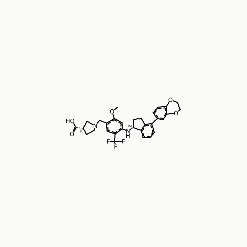 COc1cc(N[C@H]2CCc3c(-c4ccc5c(c4)OCCO5)cccc32)c(C(F)(F)F)cc1CN1CC[C@H](C(=O)O)C1